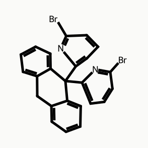 Brc1cccc(C2(c3cccc(Br)n3)c3ccccc3Cc3ccccc32)n1